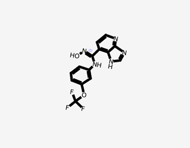 O/N=C(\Nc1cccc(OC(F)(F)F)c1)c1ccnc2nc[nH]c12